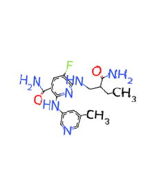 CCC(CNc1nc(Nc2cncc(C)c2)c(C(N)=O)cc1F)C(N)=O